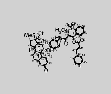 CCS[C@]1(SC)CC[C@H]2[C@@H]3CCC4=CC(=O)C=C[C@]4(C)[C@@]3(F)[C@@H](O)C[C@@]21C.CN1C(C(=O)Nc2ccccn2)=C(OC(=O)/C=C/c2ccccc2)c2ccccc2S1(=O)=O